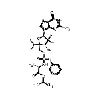 CC(C)OC(=O)[C@H](C)NP(=S)(OC[C@@]1(C(F)F)O[C@@H](n2cnc3c(=O)[nH]c(N)nc32)C(F)(F)[C@@H]1O)Oc1ccccc1